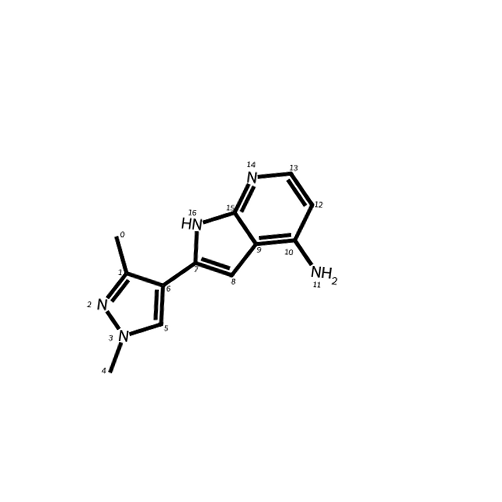 Cc1nn(C)cc1-c1cc2c(N)ccnc2[nH]1